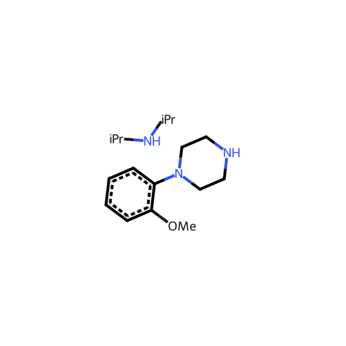 CC(C)NC(C)C.COc1ccccc1N1CCNCC1